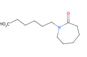 O=C(O)CCCCCN1CCCCCC1=O